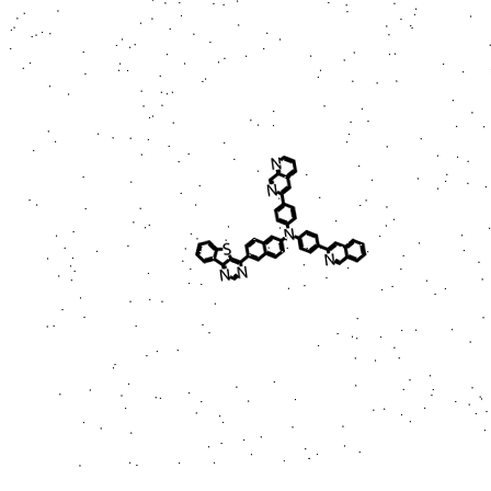 c1ccc2cc(-c3ccc(N(c4ccc(-c5cc6cccnc6cn5)cc4)c4ccc5cc(-c6ncnc7c6sc6ccccc67)ccc5c4)cc3)ncc2c1